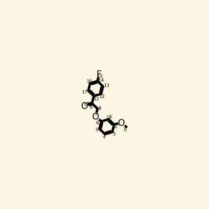 COc1cccc(OCC(=O)c2ccc(F)cc2)c1